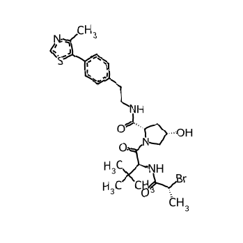 Cc1ncsc1-c1ccc(CCNC(=O)[C@@H]2C[C@H](O)CN2C(=O)[C@@H](NC(=O)[C@@H](C)Br)C(C)(C)C)cc1